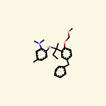 CCC(C)(Pc1ccc(C)cc1N(C)C)c1cc(Cc2ccccc2)ccc1OCOC